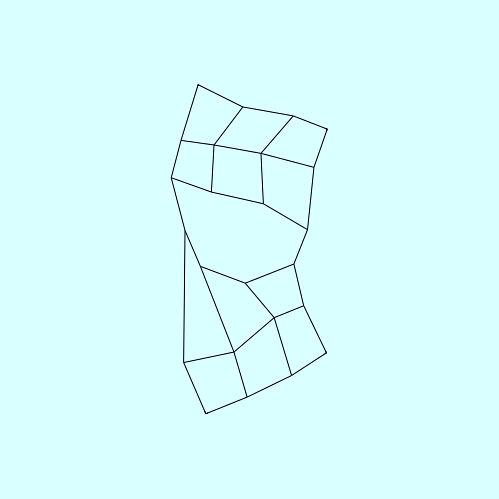 C1C2C3C4C5CC6C7CC8C(C9C%10CC%11C1C21C3C9C%10%111)C1C4C56C871